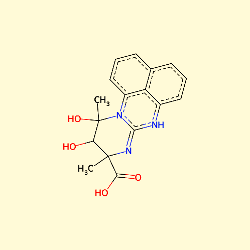 CC1(C(=O)O)N=c2[nH]c3cccc4cccc(c43)n2C(C)(O)C1O